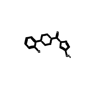 Cc1cnn(C(=O)N2CCN(c3ccccc3Cl)CC2)c1